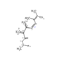 C=C(/C=C\C(C)=C(C)C)C(=C)NCC(C)F